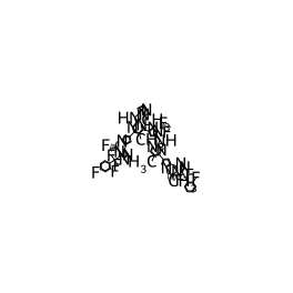 Cc1cnc(Nc2cc(-c3nc(Nc4ccnn4C)nc(-c4cc5n(c4)C[C@H](CF)n4c-5nnc4C(F)(F)c4ccc(F)cc4F)c3C)nn2C(F)F)nc1-c1cc2n(c1)C[C@H](C)n1c-2nnc1C(F)(F)c1ccccc1F